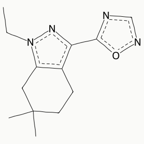 CCn1nc(-c2ncno2)c2c1CC(C)(C)CC2